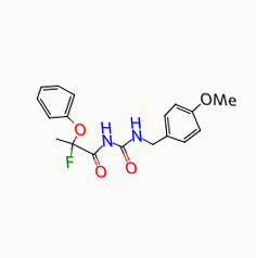 COc1ccc(CNC(=O)NC(=O)C(C)(F)Oc2ccccc2)cc1